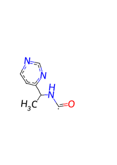 CC(N[C]=O)c1ccncn1